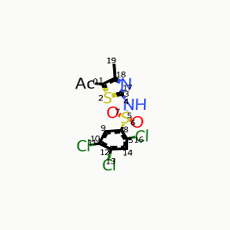 CC(=O)c1sc(NS(=O)(=O)c2cc(Cl)c(Cl)cc2Cl)nc1C